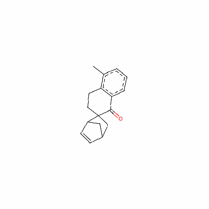 Cc1cccc2c1CCC1(CC3C=CC1C3)C2=O